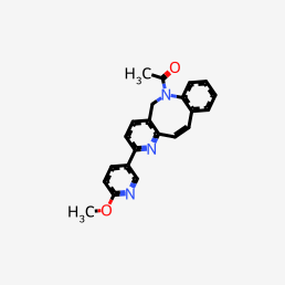 COc1ccc(-c2ccc3c(n2)C=Cc2ccccc2N(C(C)=O)C3)cn1